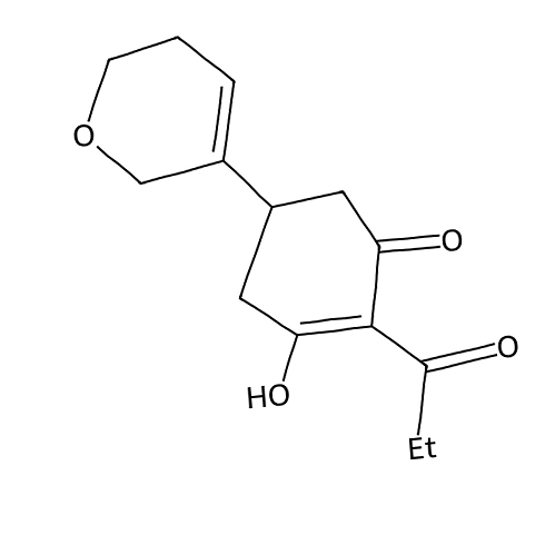 CCC(=O)C1=C(O)CC(C2=CCCOC2)CC1=O